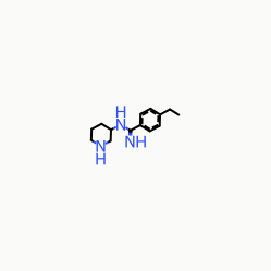 CCc1ccc(C(=N)NC2CCCNC2)cc1